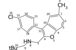 Cc1ccc2oc(CNCC(C)(C)C)c(-c3ccc(Cl)cc3)c2c1